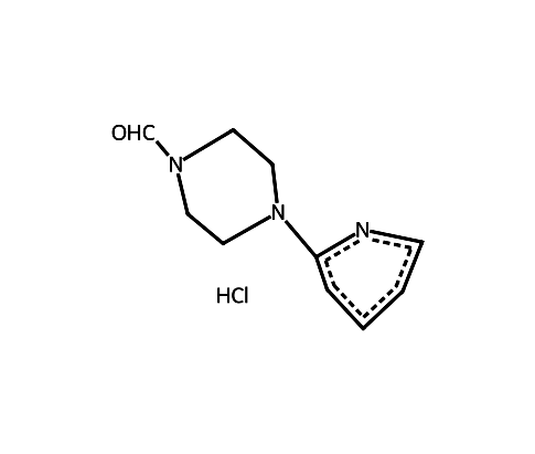 Cl.O=CN1CCN(c2ccccn2)CC1